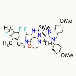 COc1ccc(CN(Cc2ccc(OC)cc2)c2ncccc2[C@@H](C)N2CCOc3nc(-c4c(F)c(C)c(F)c(C)c4C(F)(F)F)c(F)c4nc(SC)nc2c34)cc1